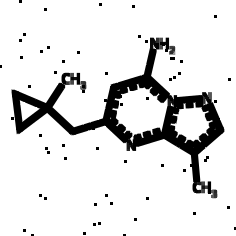 Cc1cnn2c(N)cc(CC3(C)CC3)nc12